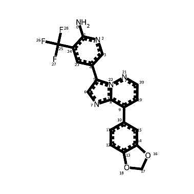 Nc1ncc(-c2cnc3c(-c4ccc5c(c4)OCO5)ccnn23)cc1C(F)(F)F